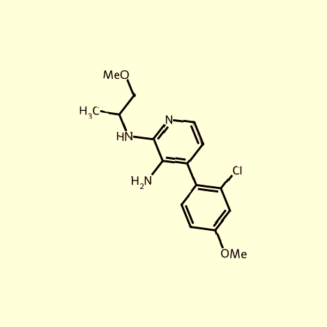 COCC(C)Nc1nccc(-c2ccc(OC)cc2Cl)c1N